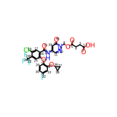 O=C(O)CCC(=O)OCn1ncc(NC(=O)c2cc(Cl)c(C(F)(F)F)cc2Oc2ccc(F)cc2OC2CC2)cc1=O